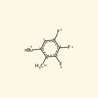 CCCCc1cc(F)c(F)c(F)c1C